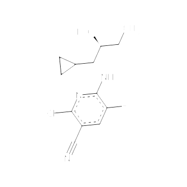 CC[C@H](C)[C@H](Nc1nc(Cl)c(C#N)cc1F)C1CC1